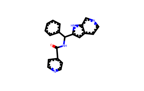 O=C(NC(c1ccccc1)c1cc2ccncc2[nH]1)c1ccncc1